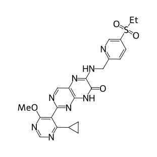 CCS(=O)(=O)c1ccc(CNc2nc3cnc(-c4c(OC)ncnc4C4CC4)nc3[nH]c2=O)nc1